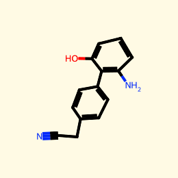 N#CCc1ccc(-c2c(N)cccc2O)cc1